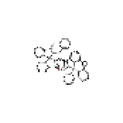 c1ccc(C2(c3ccccc3)c3ccccc3Oc3cccc(-c4ccc5c(c4)C4(c6ccccc6-5)c5ccccc5-c5cc6ccccc6cc54)c32)cc1